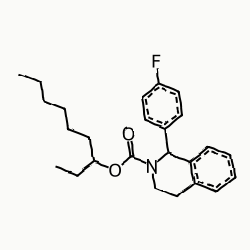 CCCCCCC(CC)OC(=O)N1CCc2ccccc2C1c1ccc(F)cc1